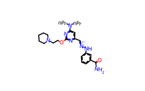 CCCN(CCC)c1cc(/C=N/Nc2cccc(C(N)=O)c2)nc(OCCN2CCCCC2)n1